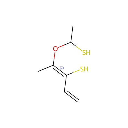 C=C/C(S)=C(\C)OC(C)S